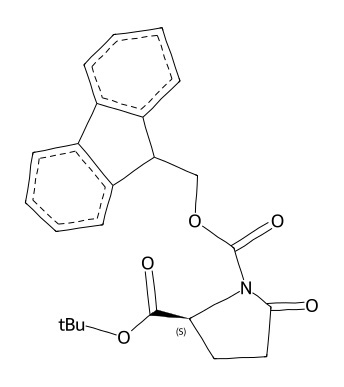 CC(C)(C)OC(=O)[C@@H]1CCC(=O)N1C(=O)OCC1c2ccccc2-c2ccccc21